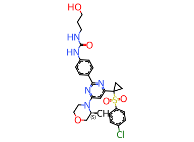 C[C@H]1COCCN1c1cc(C2(S(=O)(=O)c3ccc(Cl)cc3)CC2)nc(-c2ccc(NC(=O)NCCCO)cc2)n1